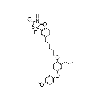 CCCc1cc(Oc2ccc(OC)cc2)ccc1OCCCCCc1cccc(C2(F)SC(=O)NC2=O)c1